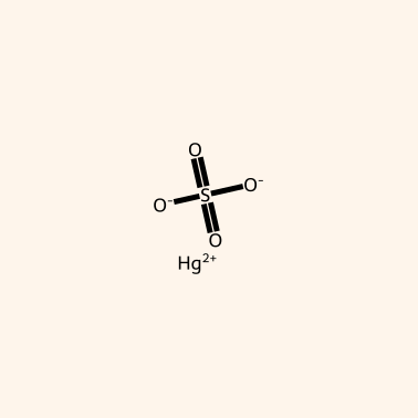 O=S(=O)([O-])[O-].[Hg+2]